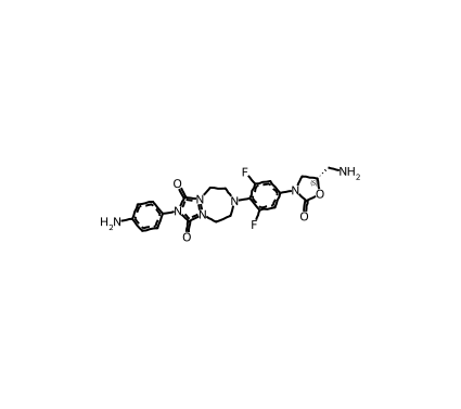 NC[C@H]1CN(c2cc(F)c(N3CCn4c(=O)n(-c5ccc(N)cc5)c(=O)n4CC3)c(F)c2)C(=O)O1